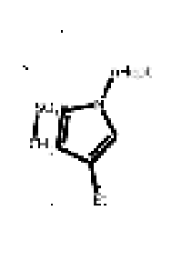 CCCCCCCn1ccc(CC)c1.CS(=O)(=O)O